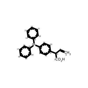 C=CC(C(=O)O)c1ccc(P(c2ccccc2)c2ccccc2)cc1